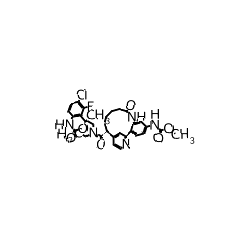 CCN(C[C@]1(C)OC(=O)Nc2ccc(Cl)c(F)c21)C(=O)[C@H]1CCCCC(=O)Nc2cc(NC(=O)OC)ccc2-c2cc1ccn2